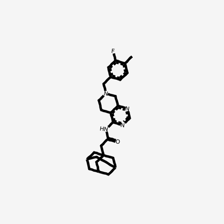 Cc1ccc(CN2CCc3c(ncnc3NC(=O)CC34CC5CC(CC(C5)C3)C4)C2)cc1F